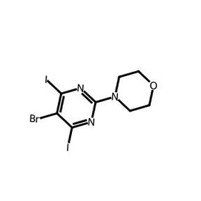 Brc1c(I)nc(N2CCOCC2)nc1I